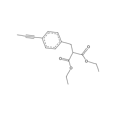 CC#Cc1ccc(CC(C(=O)OCC)C(=O)OCC)cc1